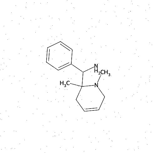 CN1CC=CCC1(C)C(N)c1ccccc1